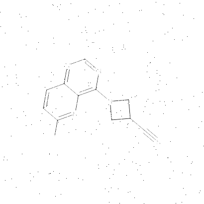 N#CC1CN(c2ncnc3ccc(Cl)nc23)C1